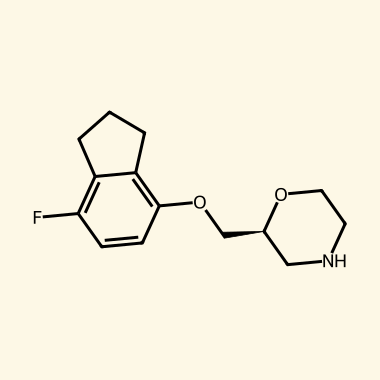 Fc1ccc(OC[C@@H]2CNCCO2)c2c1CCC2